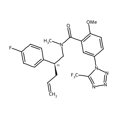 C=CC[C@H](CN(C)C(=O)c1cc(-n2nnnc2C(F)(F)F)ccc1OC)c1ccc(F)cc1